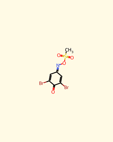 CS(=O)(=O)ON=C1C=C(Br)C(=O)C(Br)=C1